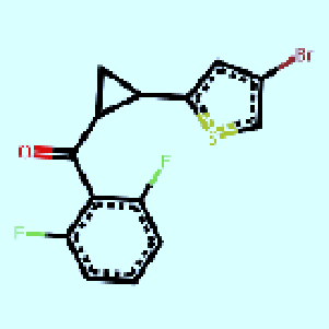 O=C(c1c(F)cccc1F)C1CC1c1cc(Br)cs1